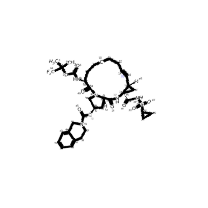 CC(C)(OC(=O)N[C@H]1CCCCC/C=C/[C@@H]2C[C@@]2(C(=O)NS(=O)(=O)C2CC2)NC(=O)[C@@H]2C[C@@H](OC(=O)N3CCc4ccccc4C3)CN2C1=O)C(F)(F)F